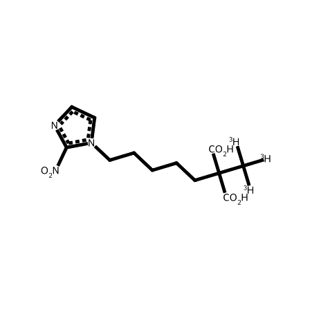 [3H]C([3H])([3H])C(CCCCCn1ccnc1[N+](=O)[O-])(C(=O)O)C(=O)O